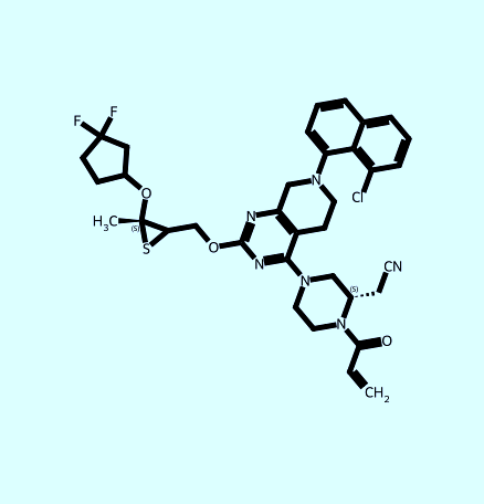 C=CC(=O)N1CCN(c2nc(OCC3S[C@]3(C)OC3CCC(F)(F)C3)nc3c2CCN(c2cccc4cccc(Cl)c24)C3)C[C@@H]1CC#N